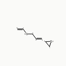 C1CO1.C=CCOC=C